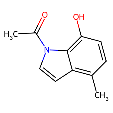 CC(=O)n1ccc2c(C)ccc(O)c21